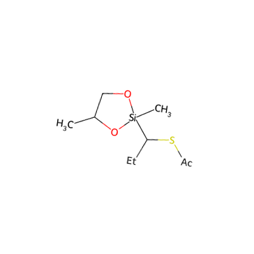 CCC(SC(C)=O)[Si]1(C)OCC(C)O1